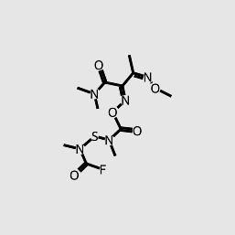 CON=C(C)C(=NOC(=O)N(C)SN(C)C(=O)F)C(=O)N(C)C